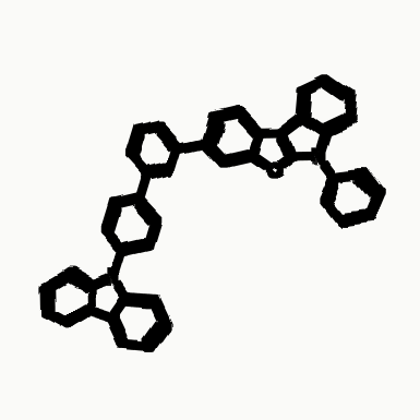 c1ccc(-n2c3ccccc3c3c4ccc(-c5cccc(-c6ccc(-n7c8ccccc8c8ccccc87)cc6)c5)cc4oc32)cc1